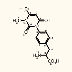 Cc1cc(=O)n(-c2ccc(CC(N)C(=O)O)cc2)c(=O)n1C